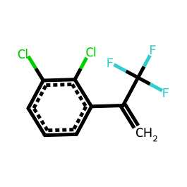 C=C(c1cccc(Cl)c1Cl)C(F)(F)F